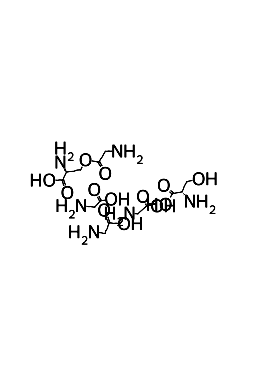 NCC(=O)O.NCC(=O)O.NCC(=O)O.NCC(=O)OC[C@H](N)C(=O)O.N[C@@H](CO)C(=O)O